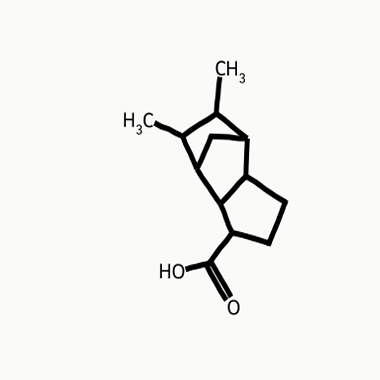 CC1C(C)C2CC1C1CCC(C(=O)O)C21